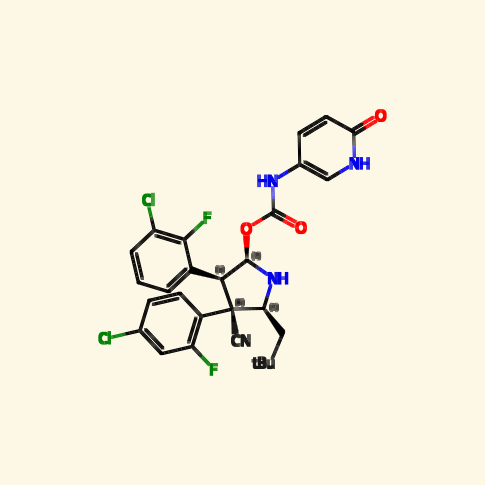 CC(C)(C)C[C@@H]1N[C@H](OC(=O)Nc2ccc(=O)[nH]c2)[C@H](c2cccc(Cl)c2F)[C@@]1(C#N)c1ccc(Cl)cc1F